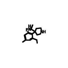 CCc1cc(C)cc(F)c1C1(C(C)=N)CCNCC1